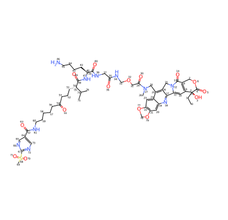 CC[C@@]1(O)C(=O)OCc2c1cc1n(c2=O)Cc2c-1nc1cc3c(cc1c2CN(C)C(=O)COCNC(=O)CNC(=O)[C@H](CCCCN)NC(=O)[C@@H](CCCC(=O)CCCCCNC(=O)c1cnc(S(C)(=O)=O)nc1)C(C)C)OCO3